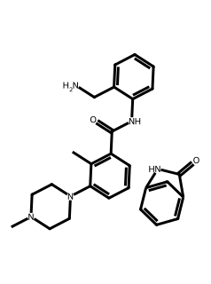 Cc1c(C(=O)Nc2ccccc2CN)cccc1N1CCN(C)CC1.O=C1Nc2cccc1c2